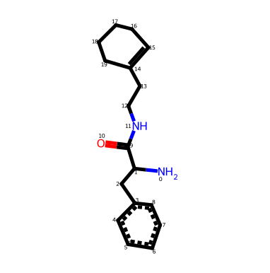 NC(Cc1ccccc1)C(=O)NCCC1=CCCCC1